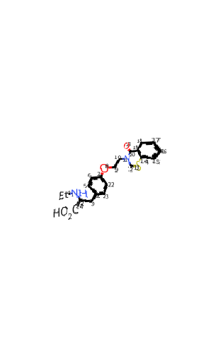 CCNC(Cc1ccc(OCCN2CSc3ccccc3C2=O)cc1)C(=O)O